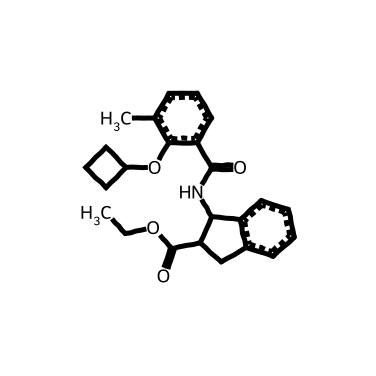 CCOC(=O)C1Cc2ccccc2C1NC(=O)c1cccc(C)c1OC1CCC1